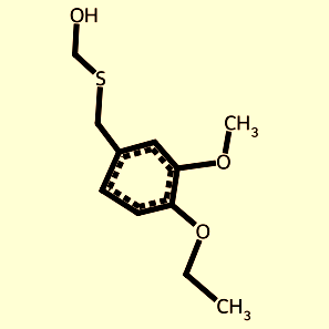 CCOc1ccc(CSCO)cc1OC